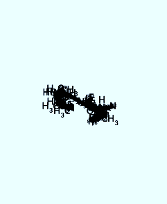 Cc1ncsc1-c1ccc([C@H](C)NC(=O)[C@@H]2C[C@@H](O)CN2C(=O)[C@@H](NC(=O)CCCCCCNCc2cc3c(c(C(F)(F)F)c2)CN(c2cc(-c4cc(C(F)(F)F)ccc4-c4nncn4C)cc(NCCCC#N)n2)C3=O)C(C)(C)C)cc1